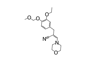 CCOc1cc(C/C(C#N)=C/N2CCOCC2)ccc1OCOC